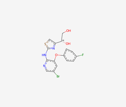 OC[C@H](O)c1csc(Nc2ncc(Br)cc2Oc2ccc(F)cc2)n1